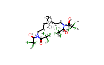 C[Si](C)(CCCN(C(=O)C(F)(F)F)C(=O)C(F)(F)F)CCCN(C(=O)C(F)(F)F)C(=O)C(F)(F)F